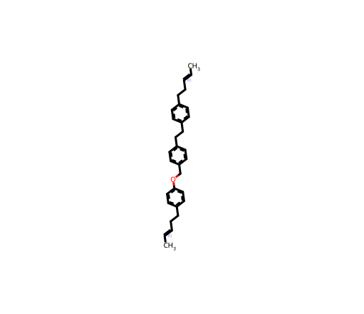 C/C=C/CCc1ccc(CCc2ccc(COc3ccc(CC/C=C/C)cc3)cc2)cc1